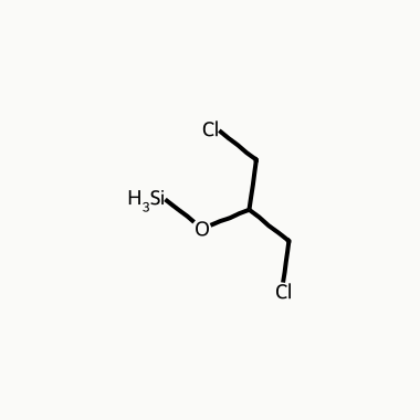 [SiH3]OC(CCl)CCl